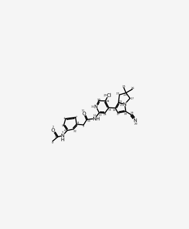 CC(=O)Nc1cccc(CC(=O)Nc2cc(-c3cc(C#N)n4c3CC(C)(C)C4)c(Cl)cn2)c1